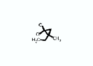 CCC1(C)CC1(Cl)Cl